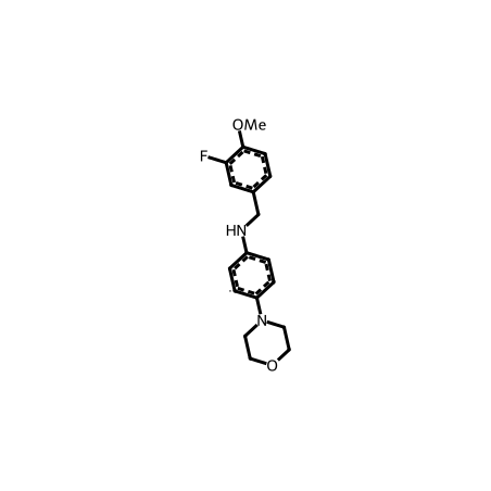 COc1ccc(CNc2c[c]c(N3CCOCC3)cc2)cc1F